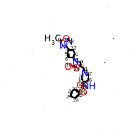 Cc1nc(-c2ccc(N3CC(CN4CCC(NS(=O)(=O)c5ccccc5)CC4)OC3=O)cc2)no1